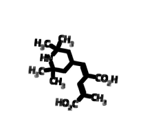 CC(=CC(=CC1CC(C)(C)NC(C)(C)C1)C(=O)O)C(=O)O